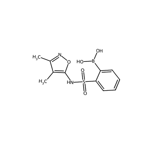 Cc1noc(NS(=O)(=O)c2ccccc2B(O)O)c1C